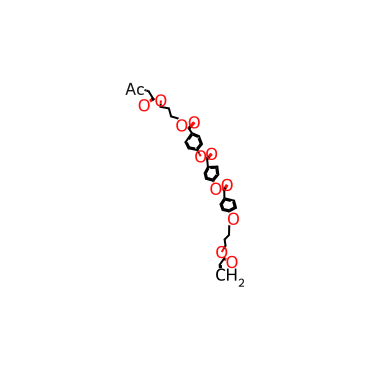 C=CC(=O)OCCCCOc1ccc(C(=O)Oc2ccc(C(=O)Oc3ccc(C(=O)OCCCCOC(=O)CC(C)=O)cc3)cc2)cc1